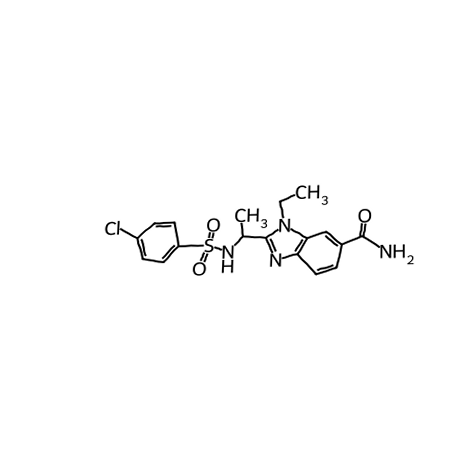 CCn1c(C(C)NS(=O)(=O)c2ccc(Cl)cc2)nc2ccc(C(N)=O)cc21